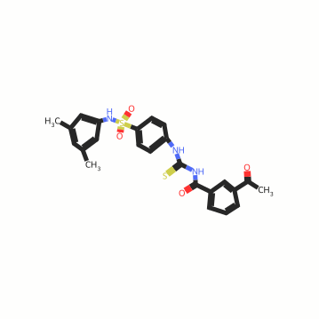 CC(=O)c1cccc(C(=O)NC(=S)Nc2ccc(S(=O)(=O)Nc3cc(C)cc(C)c3)cc2)c1